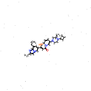 CCc1cc(C2=CC(=O)N3C=C(N4CCN(C5CCC5)[C@H](C)C4)C=CC3P2)cn2cc(C)nc12